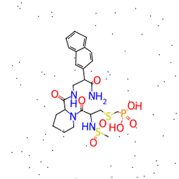 CS(=O)(=O)NC(CSCP(=O)(O)O)C(=O)N1CCCCC1C(=O)NCC(C(N)=O)c1ccc2ccccc2c1